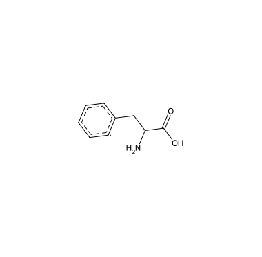 NC(Cc1[c]cccc1)C(=O)O